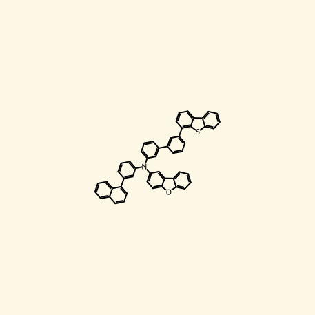 c1cc(-c2cccc(N(c3cccc(-c4cccc5ccccc45)c3)c3ccc4oc5ccccc5c4c3)c2)cc(-c2cccc3c2sc2ccccc23)c1